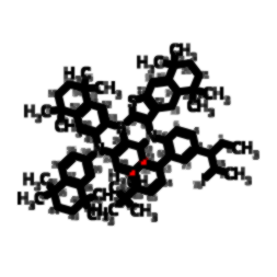 CCC(c1ccc(N2c3c(sc4c3CC3C(=C4)C(C)(C)CCC3(C)C)B3C4=C(C=C(C)CC42)N(c2ccc4c(c2)C(C)(C)CCC4(C)C)c2cc4c(cc23)C(C)(C)CCC4(C)C)c(-c2ccc(C(C)(C)C)cc2)c1)C(C)I